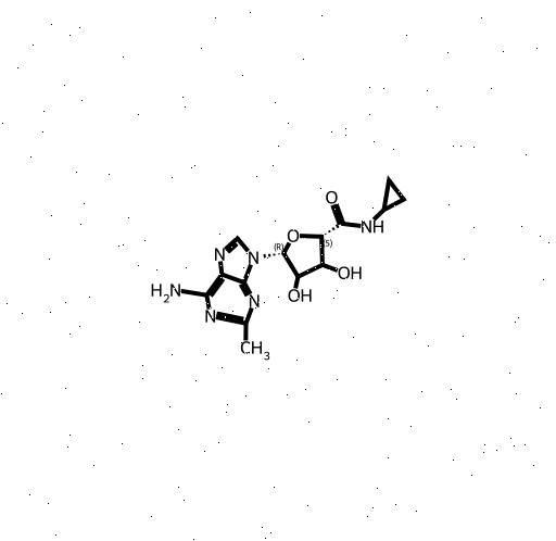 Cc1nc(N)c2ncn([C@@H]3O[C@H](C(=O)NC4CC4)C(O)C3O)c2n1